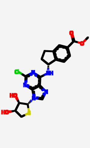 COC(=O)c1ccc2c(c1)CC[C@H]2Nc1nc(Cl)nc2c1ncn2[C@@H]1SC[C@@H](O)[C@H]1O